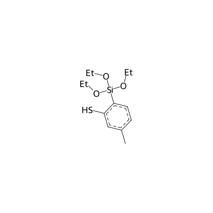 CCO[Si](OCC)(OCC)c1ccc(C)cc1S